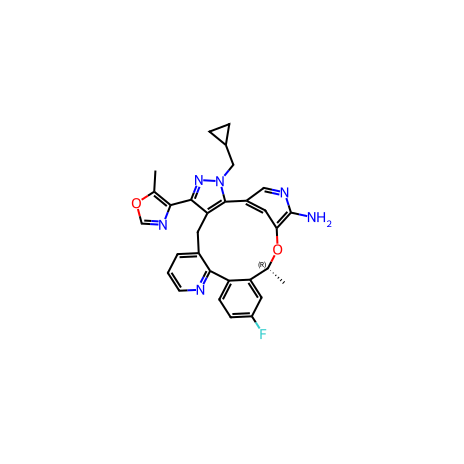 Cc1ocnc1-c1nn(CC2CC2)c2c1Cc1cccnc1-c1ccc(F)cc1[C@@H](C)Oc1cc-2cnc1N